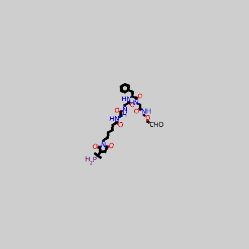 CC(C)(P)C1CC(=O)N(CCCCCC(=O)NCC(=O)NCC(=O)NC(Cc2ccccc2)C(=O)NCC(=O)NCOCC=O)C1=O